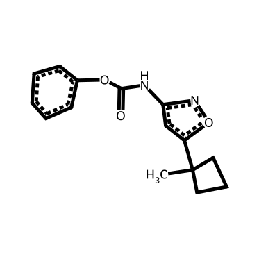 CC1(c2cc(NC(=O)Oc3ccccc3)no2)CCC1